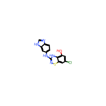 Oc1cc(Cl)cc2c1NC(Nc1ccc3nc[nH]c3c1)=NS2